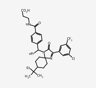 CCCC(c1ccc(C(=O)NCCC(=O)O)cc1)N1C(=O)C(c2cc(Cl)cc(C(F)(F)F)c2)=NC12CCC(C(C)(C)CC)CC2